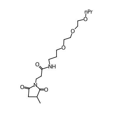 CCCOCCOCCOCCCNC(=O)CCN1C(=O)CC(C)C1=O